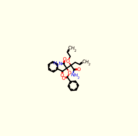 C=CCOC(CC=C)(C(N)=O)C(OC(=O)c1ccccc1)(C(N)=O)C(=O)c1ccccc1